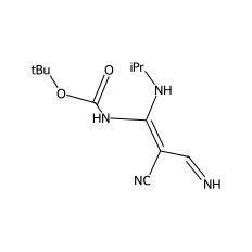 CC(C)N/C(NC(=O)OC(C)(C)C)=C(/C#N)C=N